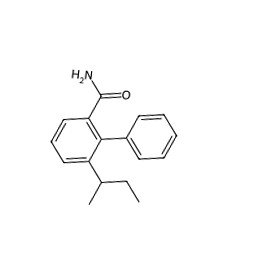 CCC(C)c1cccc(C(N)=O)c1-c1ccccc1